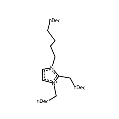 CCCCCCCCCCCCCCn1cc[n+](CCCCCCCCCCC)c1CCCCCCCCCCC